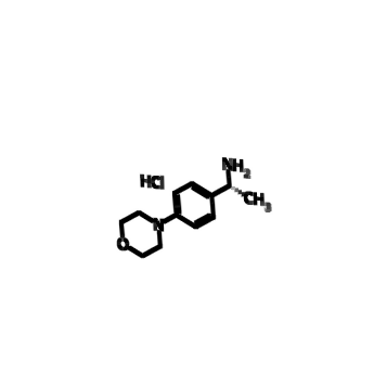 C[C@@H](N)c1ccc(N2CCOCC2)cc1.Cl